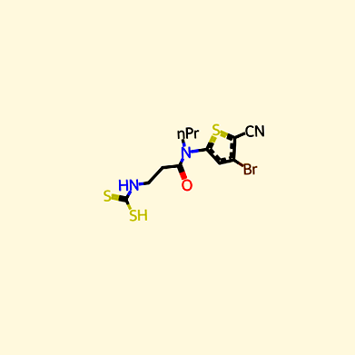 CCCN(C(=O)CCNC(=S)S)c1cc(Br)c(C#N)s1